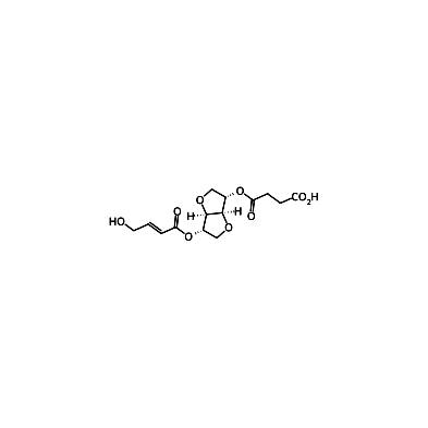 O=C(O)CCC(=O)O[C@H]1CO[C@H]2[C@@H]1OC[C@@H]2OC(=O)/C=C/CO